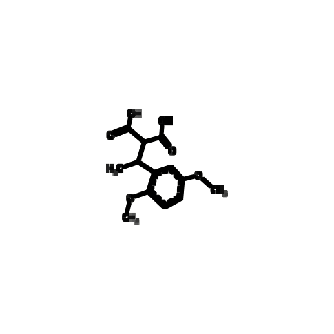 COc1ccc(OC)c(C(C)C(C(=O)O)C(=O)O)c1